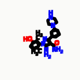 Cc1ccc(O)c(C)c1-n1nc(-c2cccc(N3CCNCC3)c2)c(C(N)=O)c1N